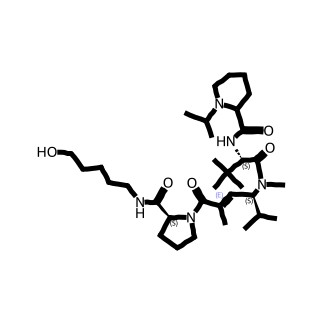 C/C(=C\[C@H](C(C)C)N(C)C(=O)[C@@H](NC(=O)C1CCCCN1C(C)C)C(C)(C)C)C(=O)N1CCC[C@H]1C(=O)NCCCCCO